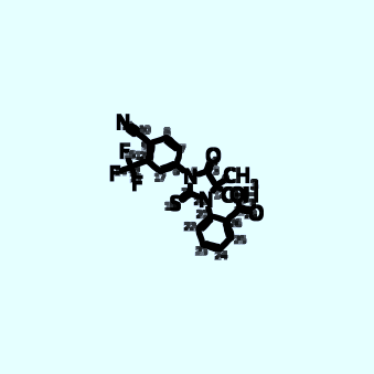 CC1(C)C(=O)N(c2ccc(C#N)c(C(F)(F)F)c2)C(=S)N1c1ccccc1C(=O)O